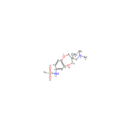 CC(=O)OC1(CN(C(C)=O)C(C)C)COc2ccc(NS(C)(=O)=O)cc2OC1